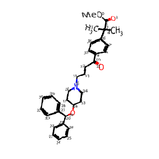 COC(=O)C(C)(C)c1ccc(C(=O)CCCN2CCC(OC(c3ccccc3)c3ccccc3)CC2)cc1